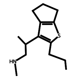 CCCc1sc2c(c1C(C)CNC)CCC2